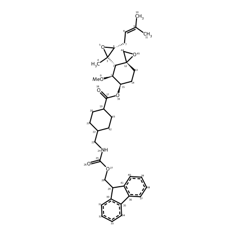 CO[C@H]1[C@H](C2(C)O[C@@H]2CC=C(C)C)[C@]2(CC[C@H]1OC(=O)C1CCC(CNC(=O)OCC3c4ccccc4-c4ccccc43)CC1)CO2